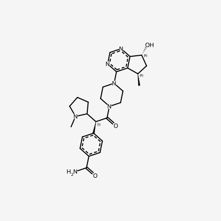 C[C@@H]1C[C@@H](O)c2ncnc(N3CCN(C(=O)[C@@H](c4ccc(C(N)=O)cc4)C4CCCN4C)CC3)c21